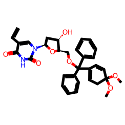 C=Cc1cn([C@H]2C[C@H](O)[C@@H](COC(C3=CCC(OC)(OC)C=C3)(c3ccccc3)c3ccccc3)O2)c(=O)[nH]c1=O